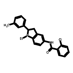 CCN1c2ccc(NC(=O)c3ccccc3Cl)cc2CC1c1cccc(C)c1